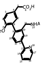 COc1ccc(CC(=O)O)cc1-c1ccc(-c2ccccn2)cc1CNC(C)=O